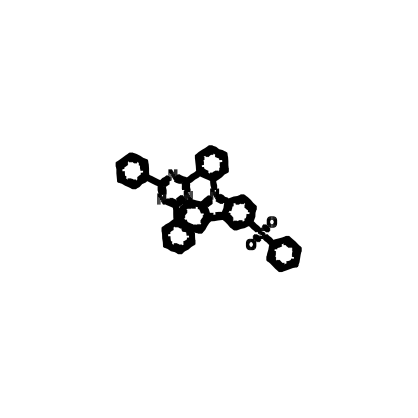 O=S(=O)(c1ccccc1)c1ccc2c(c1)c1ccccc1n2-c1ccccc1-c1nc(-c2ccccc2)nc(-c2ccccc2)n1